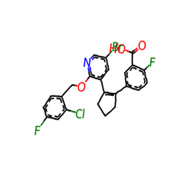 O=C(O)c1cc(C2=C(c3cc(Br)cnc3OCc3ccc(F)cc3Cl)CCC2)ccc1F